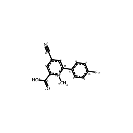 C[n+]1c(C(=O)O)cc(C#N)cc1-c1ccc(F)cc1